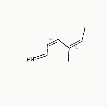 C/C=C(C)\C=C/C=N